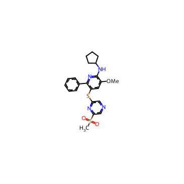 COc1cc(Sc2cncc(S(C)(=O)=O)n2)c(-c2ccccc2)nc1NC1CCCC1